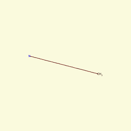 CC#CC#CC#CC#CC#CC#CC#CC#CC#CC#CC#CC#CC#CC#CC#CC#CC#CC#CC#CC#CC#CC#CC#CC#CC#CC#CC#CC#CC#CC#CC#CC#CC#CC#CC#CC#CC#CC#CC#CC#CC#CC#CC#CC#CC#CC#CC#CC#CC#CC#CC#CC#CC#CC#CC#CC#CC#CC#N